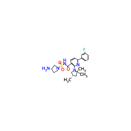 C[C@@H]1CN(c2nc(-c3cccc(F)c3)ccc2C(=O)NS(=O)(=O)N2CC[C@H](N)C2)C(C)(C)C1